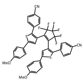 COc1ccc(-c2cc(C3=C(c4cc(-c5ccc(OC)cc5)sc4-c4ccc(C#N)cc4)C(F)(F)C(F)(F)C3(F)F)c(-c3ccc(C#N)cc3)s2)cc1